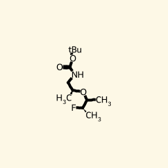 CC(O[C@@H](C)CNC(=O)OC(C)(C)C)[C@H](C)F